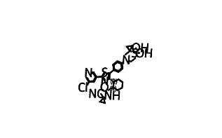 N#CC1(NC(=O)[C@@H]2CCCC[C@H]2c2nc(-c3cncc(Cl)c3)sc2-c2ccc(N3CCS(O)(O)C4(CC4)C3)cc2)CC1